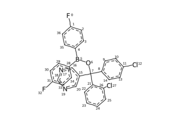 Fc1ccc(B(OC(c2ccc(Cl)cc2)(c2cncnc2)c2ccccc2Cl)c2ccc(F)cc2)cc1